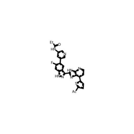 CCC(=O)Nc1cncc(-c2cc3c(-c4nc5c(-c6ccc(C(C)=O)s6)ccnc5[nH]4)n[nH]c3cc2F)c1